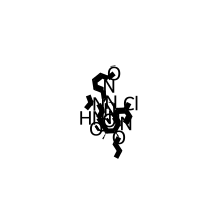 CCCO[C@@H](c1ncc(Cl)cn1)[C@H](C)S(=O)(=O)Nc1nnc(-c2cccc(OC)n2)n1C(C)C